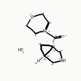 Cl.O=C(N1CCOCC1)[C@]12CNC[C@H]1C2